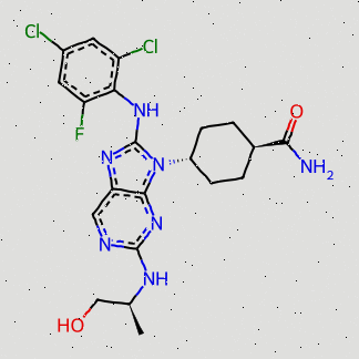 C[C@@H](CO)Nc1ncc2nc(Nc3c(F)cc(Cl)cc3Cl)n([C@H]3CC[C@H](C(N)=O)CC3)c2n1